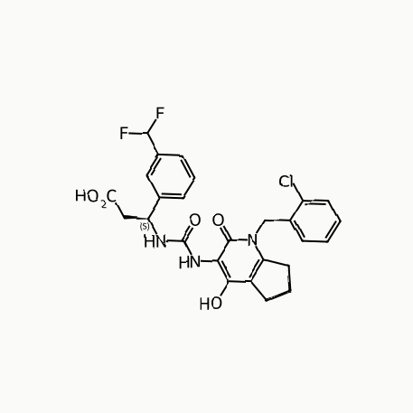 O=C(O)C[C@H](NC(=O)Nc1c(O)c2c(n(Cc3ccccc3Cl)c1=O)CCC2)c1cccc(C(F)F)c1